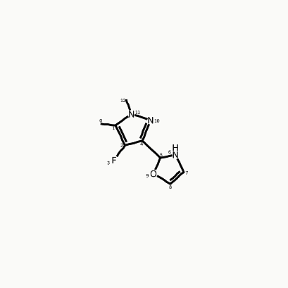 Cc1c(F)c(C2NC=CO2)nn1C